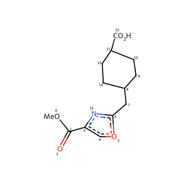 COC(=O)c1coc(CC2CCC(C(=O)O)CC2)n1